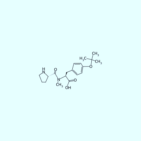 CN(C(=O)[C@@H]1CCCN1)[C@@H](Cc1ccc(OC(C)(C)C)cc1)C(=O)O